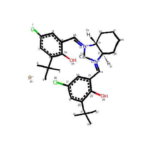 CC(C)(C)c1cc(Cl)cc(C=[N+]2[Co][N+](=Cc3cc(Cl)cc(C(C)(C)C)c3O)[C@@H]3CCCC[C@H]32)c1O.[Br-]